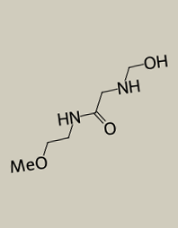 COCCNC(=O)CNCO